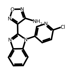 Nc1nonc1-c1nc2ccccc2n1-c1ccc(Cl)nc1